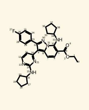 CCOC(=O)c1ccc2c(-c3ccnc(NC4CCCC4)n3)c(-c3ccc(F)cc3)nn2c1NC1CCCC1